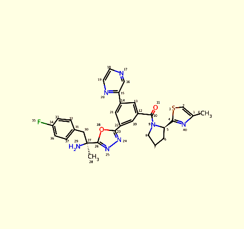 Cc1csc([C@H]2CCCN2C(=O)c2cc(-c3cnccn3)cc(-c3nnc([C@@](C)(N)Cc4ccc(F)cc4)o3)c2)n1